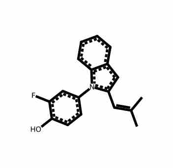 CC(C)=Cc1cc2ccccc2n1-c1ccc(O)c(F)c1